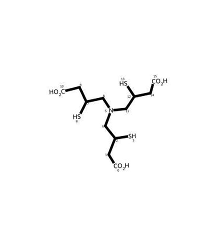 O=C(O)CC(S)CN(CC(S)CC(=O)O)CC(S)CC(=O)O